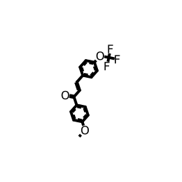 COc1ccc(C(=O)C=Cc2ccc(OC(F)(F)F)cc2)cc1